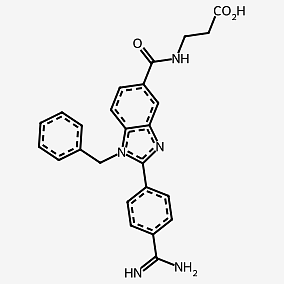 N=C(N)c1ccc(-c2nc3cc(C(=O)NCCC(=O)O)ccc3n2Cc2ccccc2)cc1